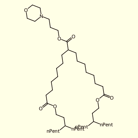 CCCCCC(CCCCC)CCOC(=O)CCCCCCCC(CCCCCCCC(=O)OCCC(CCCCC)CCCCC)C(=O)OCCCN1CCOCC1